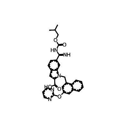 CC(C)COC(=O)NC(=N)c1ccc2cc(C(=O)O)n(Cc3cc(Oc4ncccn4)cc4ccccc34)c2c1